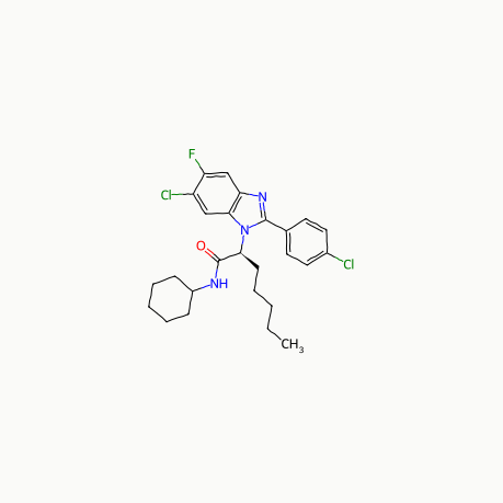 CCCCC[C@@H](C(=O)NC1CCCCC1)n1c(-c2ccc(Cl)cc2)nc2cc(F)c(Cl)cc21